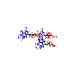 Nc1nc2c(c(=O)[nH]1)NCN2CC(O)C(O)CO.Nc1nc2c(c(=O)[nH]1)NCN2CC(O)CCO.Nc1nc2c(c(=O)[nH]1)NCN2CCC(O)CO